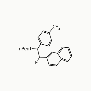 CCCCCC(c1ccc(C(F)(F)F)cc1)C(F)c1ccc2ccccc2c1